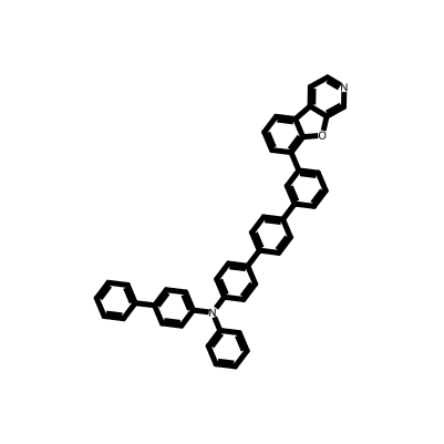 c1ccc(-c2ccc(N(c3ccccc3)c3ccc(-c4ccc(-c5cccc(-c6cccc7c6oc6cnccc67)c5)cc4)cc3)cc2)cc1